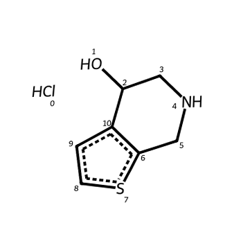 Cl.OC1CNCc2sccc21